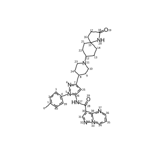 Cc1ccc(-n2nc(C3CCN(C4CCC5(CCC(=O)N5)CC4)CC3)cc2NC(=O)c2cnn3cccnc23)cc1